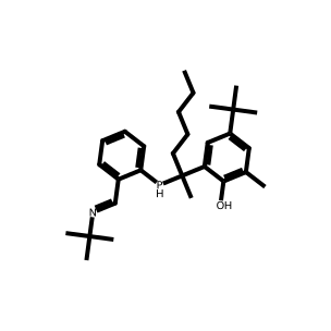 CCCCCC(C)(Pc1ccccc1/C=N/C(C)(C)C)c1cc(C(C)(C)C)cc(C)c1O